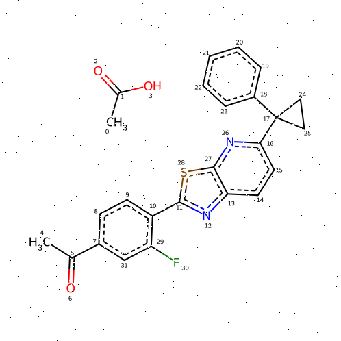 CC(=O)O.CC(=O)c1ccc(-c2nc3ccc(C4(c5ccccc5)CC4)nc3s2)c(F)c1